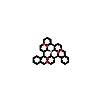 c1ccc(-c2ccccc2N(c2ccccc2-c2cccc3ccccc23)c2ccccc2-c2cccc3ccccc23)cc1